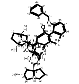 CC(C)(C)OC(=O)N1[C@@H]2CC[C@H]1CN(c1nc(OC[C@@]34CCCN3C[C@H](F)C4)nc3c(F)c(-c4c(F)cccc4OCc4ccccc4)c(Cl)cc13)C2